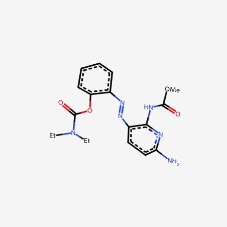 CCN(CC)C(=O)Oc1ccccc1/N=N/c1ccc(N)nc1NC(=O)OC